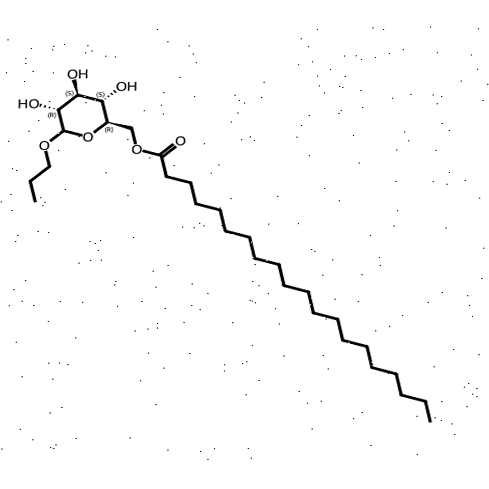 CCCCCCCCCCCCCCCCCCCC(=O)OC[C@H]1OC(OCCC)[C@H](O)[C@@H](O)[C@@H]1O